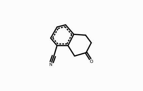 N#Cc1cccc2c1CC(=O)CC2